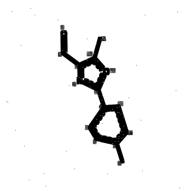 Cc1ccc(-c2nc(C=O)c(C)o2)cc1